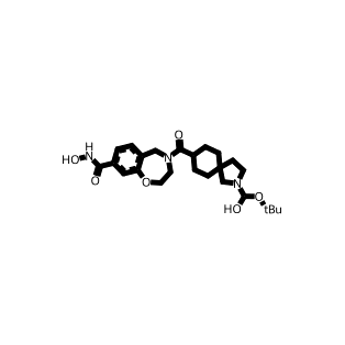 CC(C)(C)OC(O)N1CCC2(CCC(C(=O)N3CCOc4cc(C(=O)NO)ccc4C3)CC2)C1